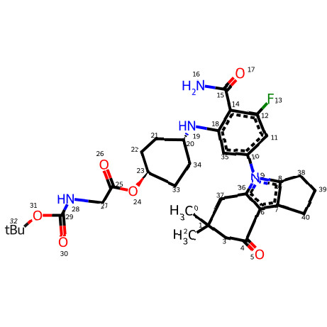 CC1(C)CC(=O)c2c3c(n(-c4cc(F)c(C(N)=O)c(N[C@H]5CC[C@H](OC(=O)CNC(=O)OC(C)(C)C)CC5)c4)c2C1)CCC3